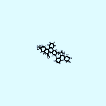 CCCCOc1ccc2c(-c3ccccc3)c(-c3ccc(-n4cnc(-c5ccccc5)c4-c4ccccc4)cc3)c(=O)oc2c1